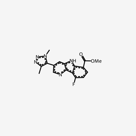 COC(=O)c1ccc(F)c2c1[nH]c1cc(-c3c(C)nnn3C)cnc12